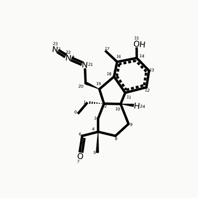 CC[C@@]12C[C@@](C)(C=O)CC[C@H]1c1ccc(O)c(C)c1[C@@H]2CN=[N+]=[N-]